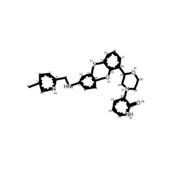 Cc1ccc(CNc2ccc3c(c2)Sc2cccc(C4CN(c5ccc[nH]c5=O)CCO4)c2O3)nc1